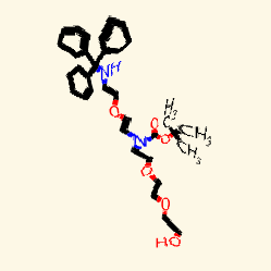 CC(C)(C)OC(=O)N(CCOCCNC(c1ccccc1)(c1ccccc1)c1ccccc1)CCOCCOCCO